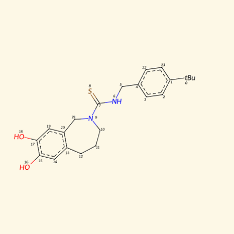 CC(C)(C)c1ccc(CNC(=S)N2CCCc3cc(O)c(O)cc3C2)cc1